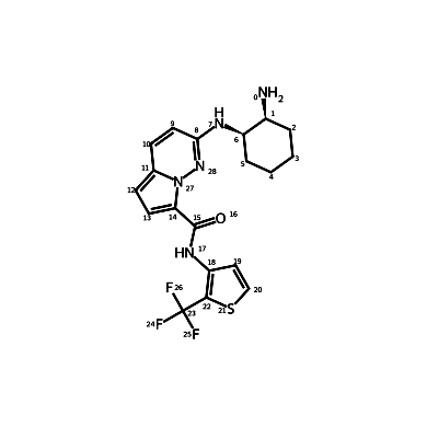 N[C@H]1CCCC[C@H]1Nc1ccc2ccc(C(=O)Nc3ccsc3C(F)(F)F)n2n1